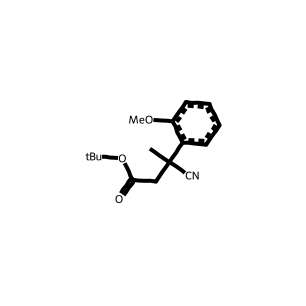 COc1ccccc1C(C)(C#N)CC(=O)OC(C)(C)C